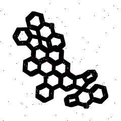 c1ccc(-c2ccccc2N(c2ccccc2-c2ccc3c(c2)C2(c4ccccc4Oc4ccccc42)c2ccccc2-3)c2ccccc2-c2ccc3c(c2)C2(c4ccccc4Oc4ccccc42)c2ccccc2-3)cc1